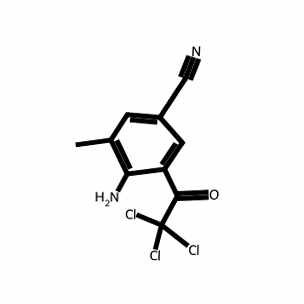 Cc1cc(C#N)cc(C(=O)C(Cl)(Cl)Cl)c1N